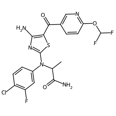 CC(C(N)=O)N(c1ccc(Cl)c(F)c1)c1nc(N)c(C(=O)c2ccc(OC(F)F)nc2)s1